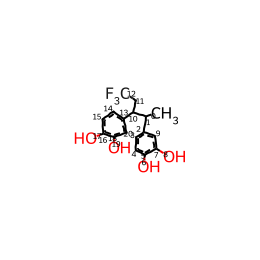 CC(c1ccc(O)c(O)c1)C(CC(F)(F)F)c1ccc(O)c(O)c1